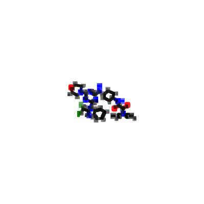 CN(C)C(=O)C(=O)N[C@H]1CC[C@H](Nc2nc(N3CCOCC3)nc(-n3c(C(F)F)nc4ccccc43)n2)CC1